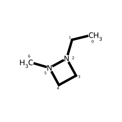 CCN1CCN1C